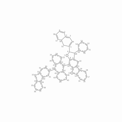 C1=CC2=CC=C(C3Oc4c(cc5c(oc6ccccc65)c4-c4c5ccccc5c(-c5ccc6sc7ccccc7c6c5)c5ccccc45)C3c3ccccc3)CC2C=C1